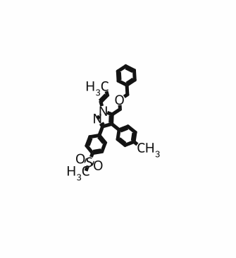 CC=Cn1nc(-c2ccc(S(C)(=O)=O)cc2)c(-c2ccc(C)cc2)c1COCc1ccccc1